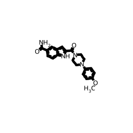 COc1ccc(N2CCN(C(=O)c3cc4cc(C(N)=O)ccc4[nH]3)CC2)cc1